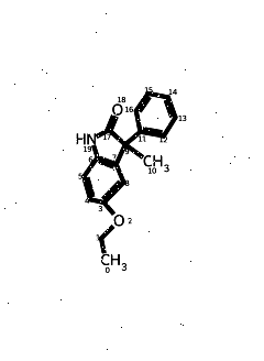 CCOc1ccc2c(c1)C(C)(c1ccccc1)C(=O)N2